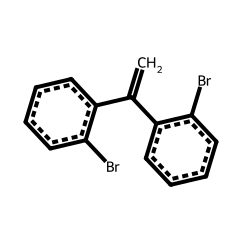 C=C(c1ccccc1Br)c1ccccc1Br